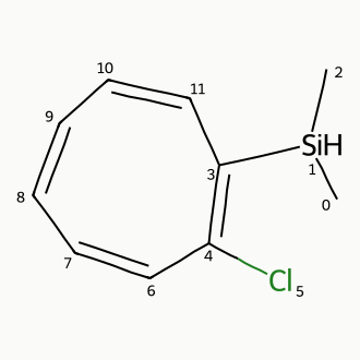 C[SiH](C)C1=C(Cl)C=CC=CC=C1